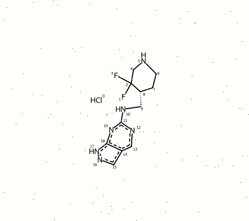 Cl.FC1(F)CNCC[C@@H]1CNc1ncc2cn[nH]c2n1